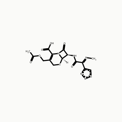 CN=C(C(=O)N[C@@H]1C(=O)N2C(C(=O)O)=C(COC(C)=O)CS[C@H]12)c1csnn1